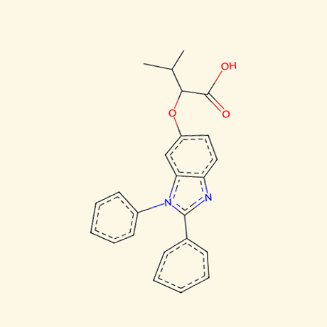 CC(C)C(Oc1ccc2nc(-c3ccccc3)n(-c3ccccc3)c2c1)C(=O)O